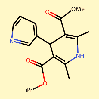 COC(=O)C1=C(C)NC(C)=C(C(=O)OC(C)C)C1c1cccnc1